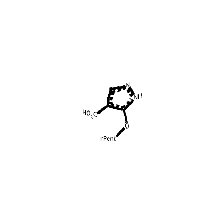 CCCCCOc1[nH]ncc1C(=O)O